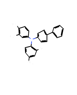 Cc1ccc(N(c2ccc(-c3ccccc3)cc2)c2ccc(C)c(C)c2)c(C)c1